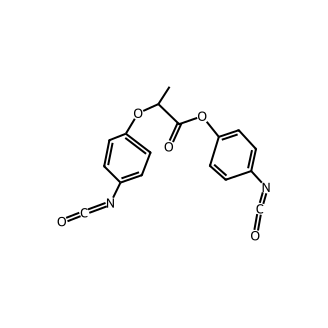 CC(Oc1ccc(N=C=O)cc1)C(=O)Oc1ccc(N=C=O)cc1